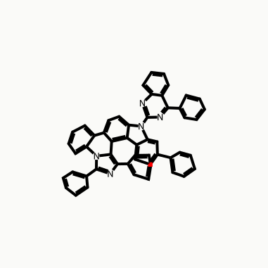 c1ccc(-c2ccc3c4c5c(ccc4n(-c4nc(-c6ccccc6)c6ccccc6n4)c3c2)c2ccccc2n2c(-c3ccccc3)nc(-c3ccccc3)c52)cc1